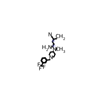 C=C/C(C#N)=C\C=C(/N)N(C)C1CCN(Cc2cccc(C(F)(F)F)c2)CC1